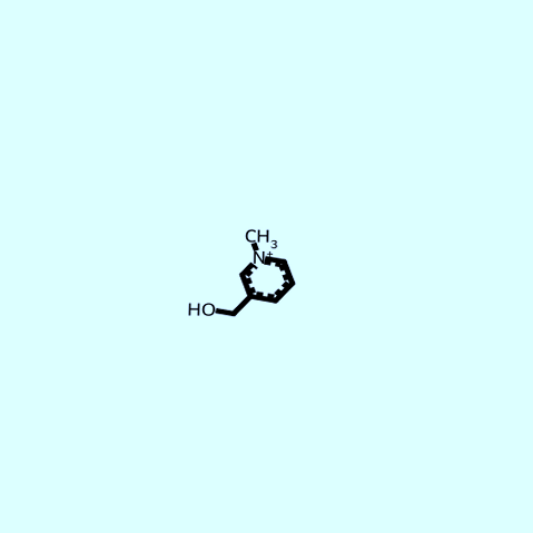 C[n+]1cccc(CO)c1